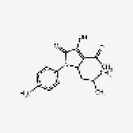 CC(=O)C1=C(O)C(=O)N(c2ccc(C)cc2)C1CC(C)C